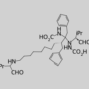 CC(C)C(C=O)NCCCCCCCC[C@@H](Cc1ccccc1)C(Cc1ccccc1)(NC(=O)O)N(NC(=O)O)[C@H](C=O)C(C)C